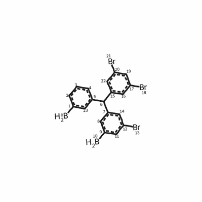 Bc1cccc(C(c2cc(B)cc(Br)c2)c2cc(Br)cc(Br)c2)c1